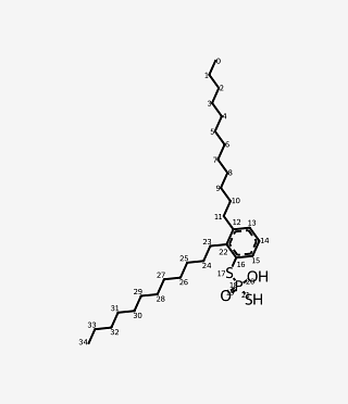 CCCCCCCCCCCCc1cccc(SP(=O)(O)S)c1CCCCCCCCCCCC